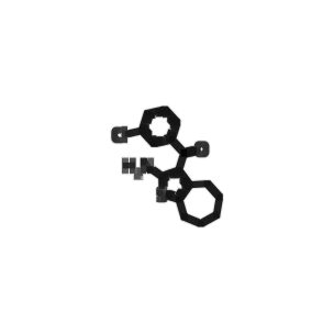 Nc1sc2c(c1C(=O)c1cccc(Cl)c1)CCCCC2